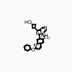 N[N+]12C=CN=CC1=C(C1CC(O)C1)N=C2c1cc2nc(Oc3ccccc3)ccc2cc1Cl